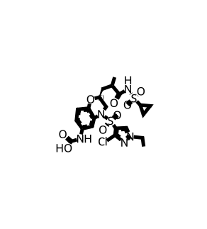 CCn1cc(S(=O)(=O)N2C[C@H](CC(C)C(=O)NS(=O)(=O)C3CC3)Oc3ccc(NC(=O)O)cc32)c(Cl)n1